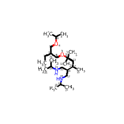 CCC(COC(C)C)COC(C)(C)CC(C)C(CNC(C)C)CNC(C)C